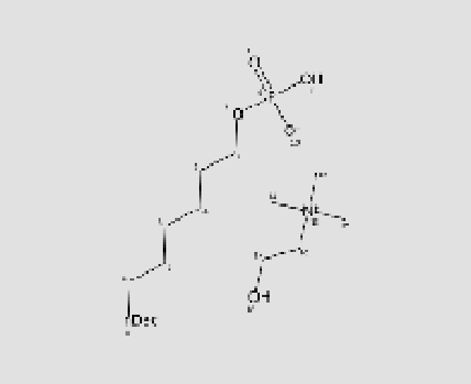 CCCCCCCCCCCCCCCCOP(=O)([O-])O.C[N+](C)(C)CCO